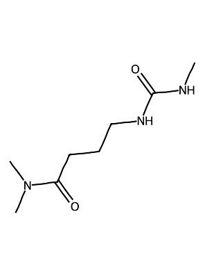 CNC(=O)NCCCC(=O)N(C)C